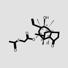 C=C[C@]1(C)C[C@@H](OC(=O)CSC(C)=O)[C@]2(C)C(C)CC[C@]3(CCC(=O)[C@H]32)[C@@H](C)[C@@H]1O